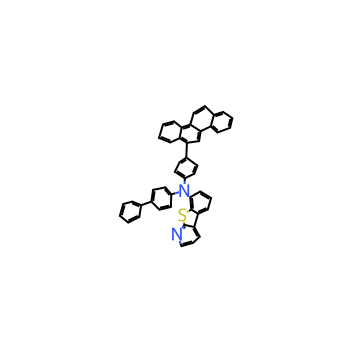 c1ccc(-c2ccc(N(c3ccc(-c4cc5c6ccccc6ccc5c5ccccc45)cc3)c3cccc4c3sc3ncccc34)cc2)cc1